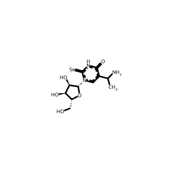 CC(N)c1cn([C@@H]2O[C@H](CO)[C@@H](O)[C@H]2O)c(=[Se])[nH]c1=O